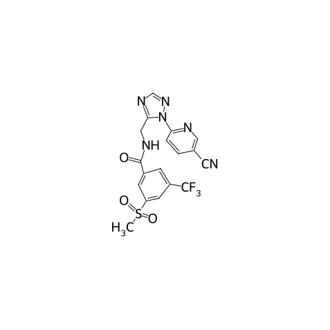 CS(=O)(=O)c1cc(C(=O)NCc2ncnn2-c2ccc(C#N)cn2)cc(C(F)(F)F)c1